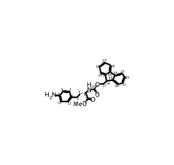 COC(=O)[C@H](CCc1ccc(N)cc1)NC(=O)OCC1c2ccccc2-c2ccccc21